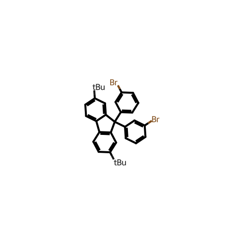 CC(C)(C)c1ccc2c(c1)C(c1cccc(Br)c1)(c1cccc(Br)c1)c1cc(C(C)(C)C)ccc1-2